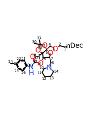 CCCCCCCCCCCCOC[C@@]12O[C@@H](CN3CCCCC3)[C@@H](OC(=O)Nc3ccc(C)cc3)[C@@H]1OC(C)(C)O2